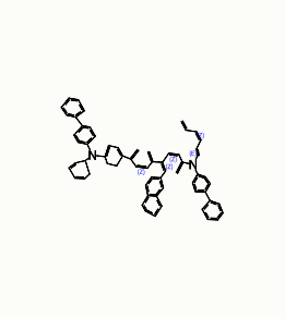 C=C/C=C\C=C\N(C(=C)/C=C\C(=C\c1ccc2ccccc2c1)C(=C)/C=C\C(=C)C1=CC=C(N(c2ccc(-c3ccccc3)cc2)C2C=CC=CC2)CC1)c1ccc(-c2ccccc2)cc1